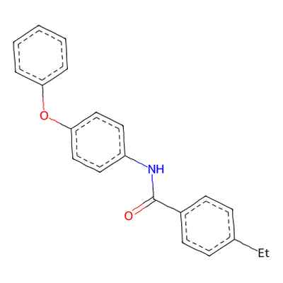 CCc1ccc(C(=O)Nc2ccc(Oc3ccccc3)cc2)cc1